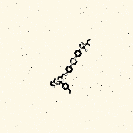 CCc1ccc(C2(Cn3nccc3C)OCC(COc3ccc(N4CCN(c5ccc(-n6cnn(C(C)CC)c6=O)cc5)CC4)cc3)O2)cc1